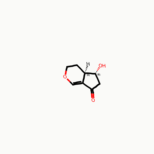 O=C1C[C@@H](O)[C@@H]2CCOC=C12